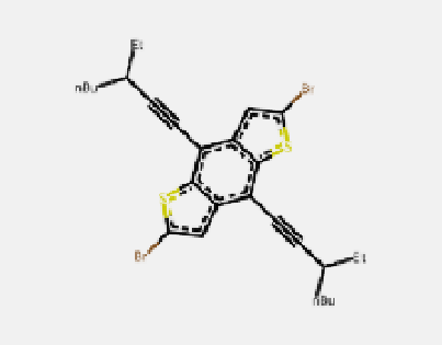 CCCCC(C#Cc1c2cc(Br)sc2c(C#CC(CC)CCCC)c2cc(Br)sc12)CC